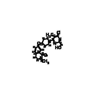 Cc1c(Cl)nc(CO)nc1N1CCC(Oc2ccc3c(c2)C(=O)N(C)CC3)CC1